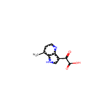 Cc1ccnc2c(C(=O)C(=O)O)c[nH]c12